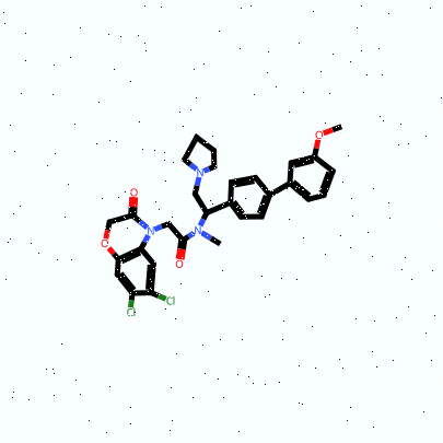 COc1cccc(-c2ccc(C(CN3CCCC3)N(C)C(=O)CN3C(=O)COc4cc(Cl)c(Cl)cc43)cc2)c1